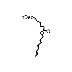 CC=CC=CC=CCOC(=O)CCCCCCCCCCCCCCC